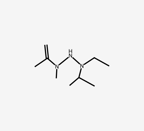 C=C(C)N(C)NN(CC)C(C)C